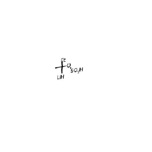 CCC(C)(C)OS(=O)(=O)O.[LiH]